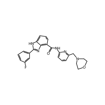 O=C(Nc1cccc(CN2CCOCC2)n1)c1cccc2[nH]c(-c3cccc(F)c3)nc12